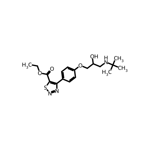 CCOC(=O)c1snnc1-c1ccc(OCC(O)CNC(C)(C)C)cc1